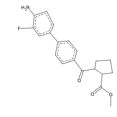 COC(=O)C1CCCC1C(=O)c1ccc(-c2ccc(N)c(F)c2)cc1